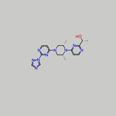 C[C@@H]1CN(c2ccnc(-n3cncn3)n2)C[C@H](C)N1c1ccnc([C@@H](C)O)n1